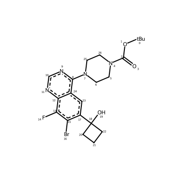 CC(C)(C)OC(=O)N1CCN(c2ncnc3c(F)c(Br)c(C4(O)CCC4)cc23)CC1